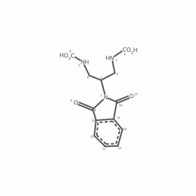 O=C(O)NCC(CNC(=O)O)N1C(=O)c2ccccc2C1=O